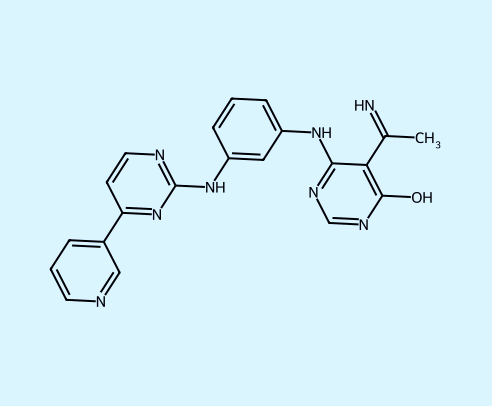 CC(=N)c1c(O)ncnc1Nc1cccc(Nc2nccc(-c3cccnc3)n2)c1